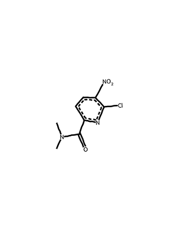 CN(C)C(=O)c1ccc([N+](=O)[O-])c(Cl)n1